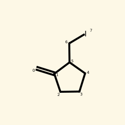 C=C1CCCC1CI